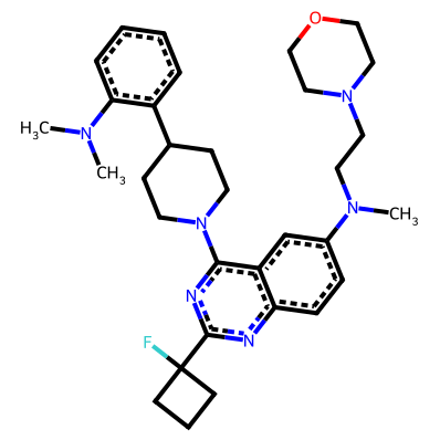 CN(C)c1ccccc1C1CCN(c2nc(C3(F)CCC3)nc3ccc(N(C)CCN4CCOCC4)cc23)CC1